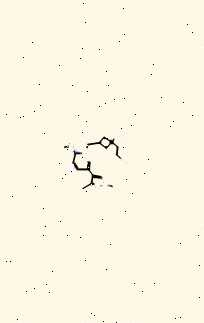 C=C(/C=C\C(=N/C)NCC1CC(CCC)(CCN)C1)c1cn(C)nc1C